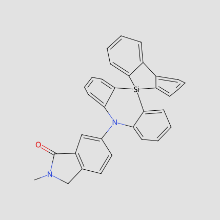 CN1Cc2ccc(N3c4ccccc4[Si]4(c5ccccc5-c5ccccc54)c4ccccc43)cc2C1=O